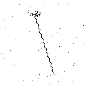 C[Si](Cl)(Cl)CCCCCCCCCCCCCCCCCCCCCCCCl